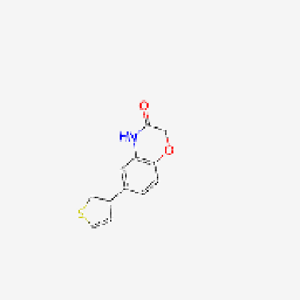 O=C1COc2ccc(C3C=CSC3)cc2N1